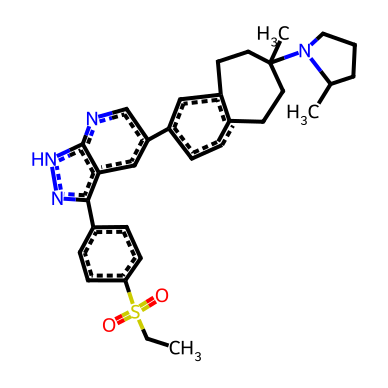 CCS(=O)(=O)c1ccc(-c2n[nH]c3ncc(-c4ccc5c(c4)CCC(C)(N4CCCC4C)CC5)cc23)cc1